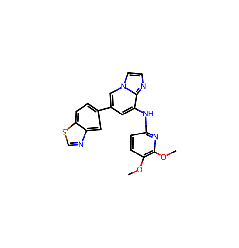 COc1ccc(Nc2cc(-c3ccc4scnc4c3)cn3ccnc23)nc1OC